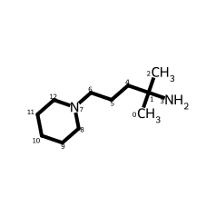 CC(C)(N)CCCN1CCCCC1